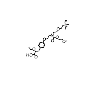 CCOC(Cc1ccc(OCCN(CCOCCC(C)(F)F)C(=O)OCCOC)cc1)C(=O)O